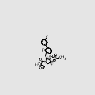 CCS(=O)(=O)N[C@@H]1[C@H](Cc2cccc(-c3cccc(F)c3)c2F)N(C(=O)C2(O)CCO2)CC1(F)F